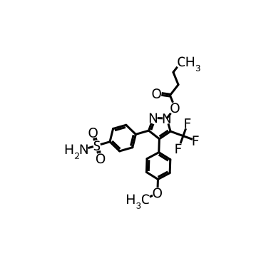 CCCC(=O)On1nc(-c2ccc(S(N)(=O)=O)cc2)c(-c2ccc(OC)cc2)c1C(F)(F)F